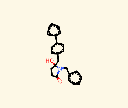 O=C1CCC(O)(Cc2ccc(-c3ccccc3)cc2)N1Cc1ccccc1